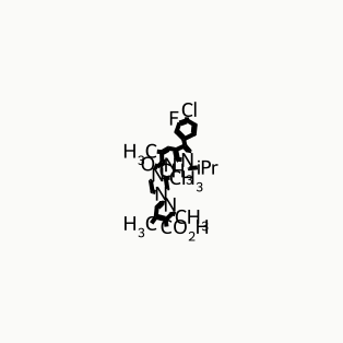 Cc1cc2c(-c3ccc(Cl)c(F)c3)cn(CC(C)C)c2nc1C(=O)N1CCN(c2cc(C)c(C(=O)O)c(C)n2)CC1(C)C